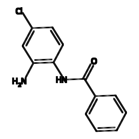 Nc1cc(Cl)ccc1NC(=O)c1ccccc1